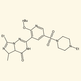 CCCCOc1ncc(S(=O)(=O)N2CCN(CC)CC2)cc1C1=NN2C(CC)=NC(C)C2C(=O)N1